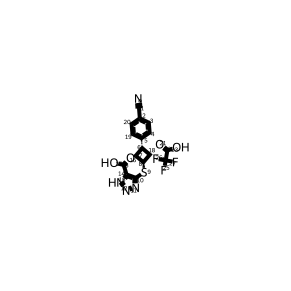 N#Cc1ccc([C@H]2C[C@H](Sc3nn[nH]c3C(=O)O)C2)cc1.O=C(O)C(F)(F)F